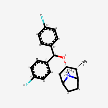 CCC[C@@H]1C2CCC(C[C@@H]1OC(c1ccc(F)cc1)c1ccc(F)cc1)N2C